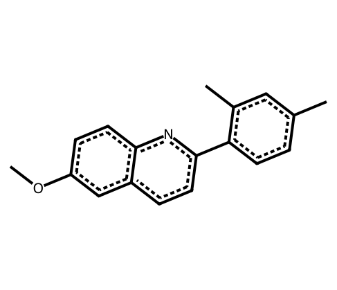 COc1ccc2nc(-c3ccc(C)cc3C)ccc2c1